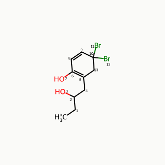 CCC(O)CC1=C(O)C=CC(Br)(Br)C1